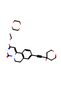 O=c1nc(OCC[C@H]2COCCO2)cc2n1CCc1cc(C#CC3(O)CCOCC3)ccc1-2